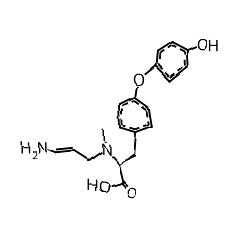 NC=CCN(I)[C@@H](Cc1ccc(Oc2ccc(O)cc2)cc1)C(=O)O